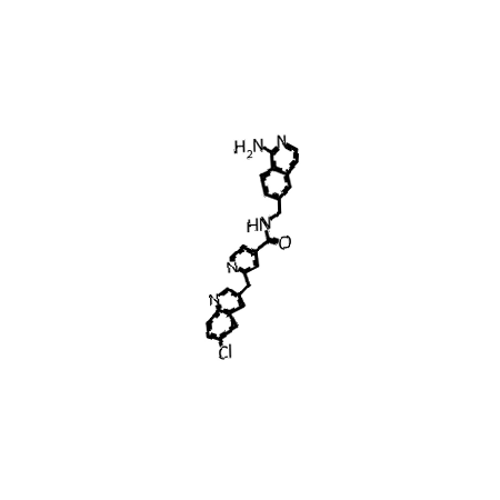 Nc1nccc2cc(CNC(=O)c3ccnc(Cc4cnc5ccc(Cl)cc5c4)c3)ccc12